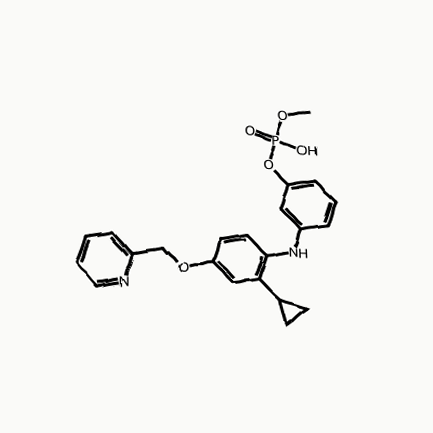 COP(=O)(O)Oc1cccc(Nc2ccc(OCc3ccccn3)cc2C2CC2)c1